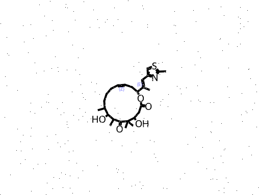 C/C(=C\c1csc(C)n1)C1C/C=C\CCCC(C)C(O)C(C)C(=O)C(C)(C)C(O)CC(=O)O1